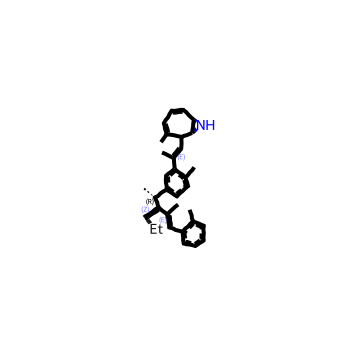 CC/C=C(\C(C)=C\c1ccccc1C)[C@H](C)c1ccc(C)c(/C(C)=C/C2C(C)=CC=CC3NC32)c1